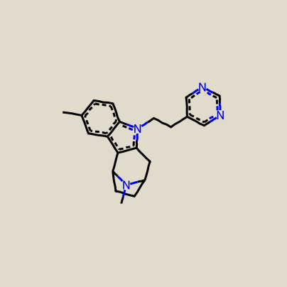 Cc1ccc2c(c1)c1c(n2CCc2cncnc2)CC2CCC1N2C